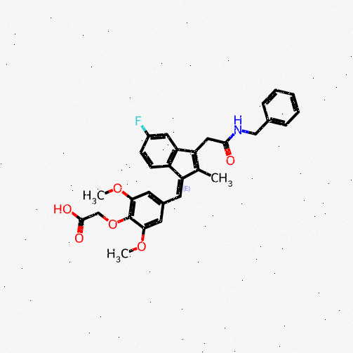 COc1cc(/C=C2/C(C)=C(CC(=O)NCc3ccccc3)c3cc(F)ccc32)cc(OC)c1OCC(=O)O